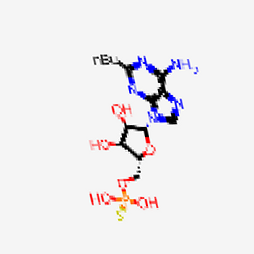 CCCCc1nc(N)c2ncn([C@@H]3O[C@H](COP(O)(O)=S)[C@@H](O)[C@H]3O)c2n1